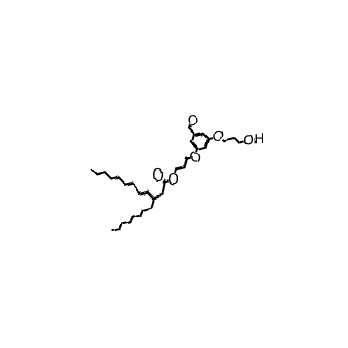 CCCCCCCCCC(CCCCCCCC)CC(=O)OCCCOc1cc(C=O)cc(OCCCO)c1